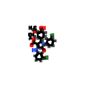 CCOC(=O)C1=C(Nc2cccc(Cl)c2)C(=O)N(c2cccc(Cl)c2)C1c1ccc(O)c(OC)c1